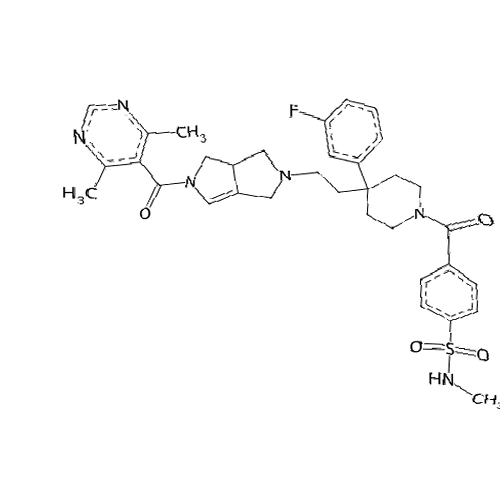 CNS(=O)(=O)c1ccc(C(=O)N2CCC(CCN3CC4=CN(C(=O)c5c(C)ncnc5C)CC4C3)(c3cccc(F)c3)CC2)cc1